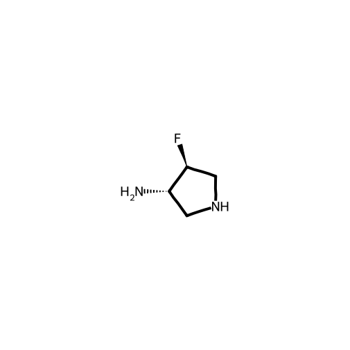 N[C@H]1CNC[C@@H]1F